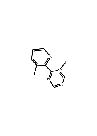 Ic1cccnc1-c1ncnc[n+]1I